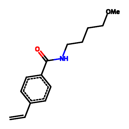 C=Cc1ccc(C(=O)NCCCCOC)cc1